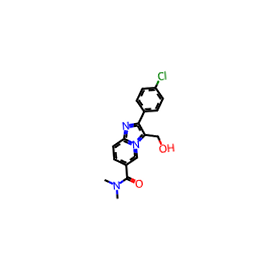 CN(C)C(=O)c1ccc2nc(-c3ccc(Cl)cc3)c(CO)n2c1